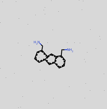 NCc1cccc2cc3cccc(CN)c3cc12